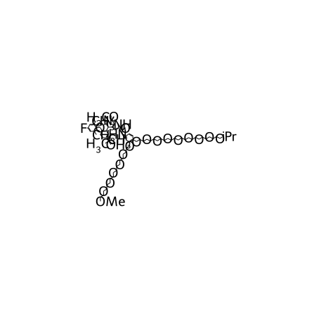 COCCOCCOCCOCCOCCOCCOc1cc(NC(=O)c2cc3c(-c4cc(C(C)(C)O)ccc4Oc4c(C)cc(F)cc4C)cn(C)c(=O)c3[nH]2)ccc1OCCOCCOCCOCCOCCOCCOCCOCCOC(C)C